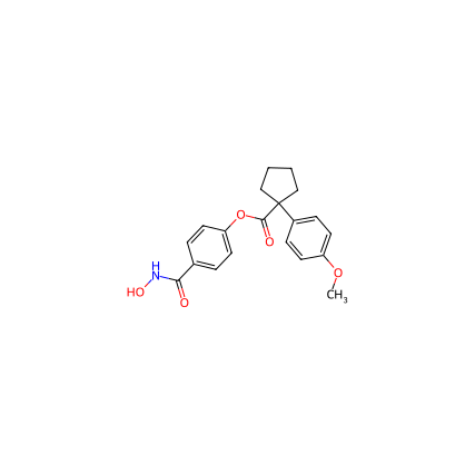 COc1ccc(C2(C(=O)Oc3ccc(C(=O)NO)cc3)CCCC2)cc1